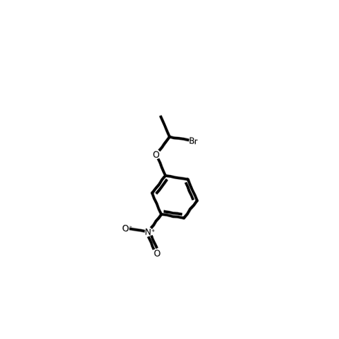 CC(Br)Oc1cccc([N+](=O)[O-])c1